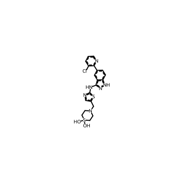 OS1(O)CCN(Cc2cnc(Nc3n[nH]c4ccc(-c5ncccc5Cl)cc34)s2)CC1